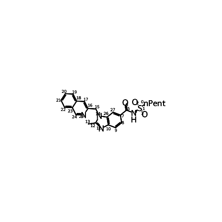 CCCCCS(=O)(=O)NC(=O)c1ccc2nc(C)n(Cc3cc4ccccc4cn3)c2c1